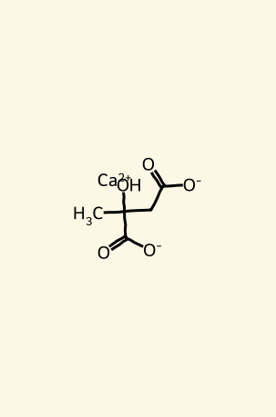 CC(O)(CC(=O)[O-])C(=O)[O-].[Ca+2]